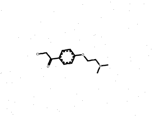 CN(C)CCOc1ccc(C(=O)CCl)cc1